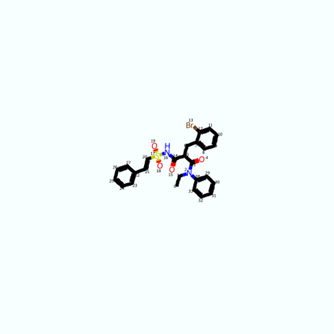 CCN(C(=O)C(Cc1ccccc1Br)C(=O)NS(=O)(=O)/C=C/c1ccccc1)c1ccccc1